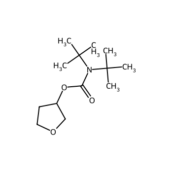 CC(C)(C)N(C(=O)OC1CCOC1)C(C)(C)C